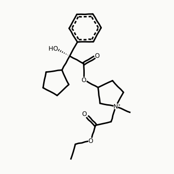 CCOC(=O)C[N+]1(C)CCC(OC(=O)[C@](O)(c2ccccc2)C2CCCC2)C1